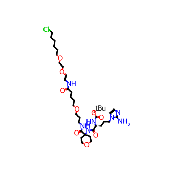 CC(C)(C)OC(=O)N[C@@H](CCCn1ccnc1N)C(=O)NC1(C(=O)NCCCOCCCCC(=O)NCCOCCOCCCCCCCl)CCOCC1